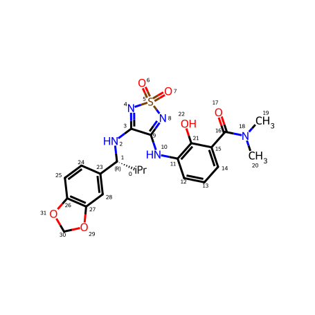 CC(C)[C@@H](NC1=NS(=O)(=O)N=C1Nc1cccc(C(=O)N(C)C)c1O)c1ccc2c(c1)OCO2